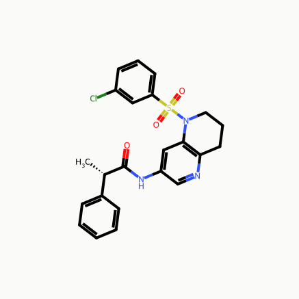 C[C@H](C(=O)Nc1cnc2c(c1)N(S(=O)(=O)c1cccc(Cl)c1)CCC2)c1ccccc1